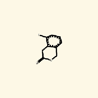 O=C1Cc2c(F)cccc2CO1